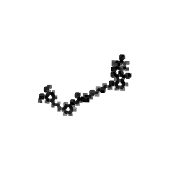 COc1ccc(CCCc2cccc(OCC(=O)NCCOCCOCCOc3cccc4c3C(=O)N(C3CCC(=O)NC3=O)C4=O)c2)cc1OC